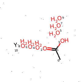 CC(=O)O.O.O.O.O.O.O.[Y]